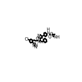 O=C(/C=C/c1cc(Cl)ccc1-n1cnnn1)NC(Cc1ccccc1)c1cc(-c2ccc(NC(=O)OC3CNC3)cc2)cnn1